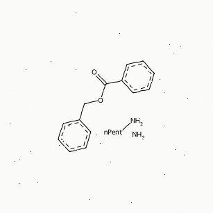 CCCCCN.N.O=C(OCc1ccccc1)c1ccccc1